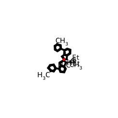 CC[Si](CC)=[Hf]([CH3])([CH3])([CH]1C=Cc2c(-c3cccc(C)c3)cccc21)[CH]1C=Cc2c(-c3cccc(C)c3)cccc21